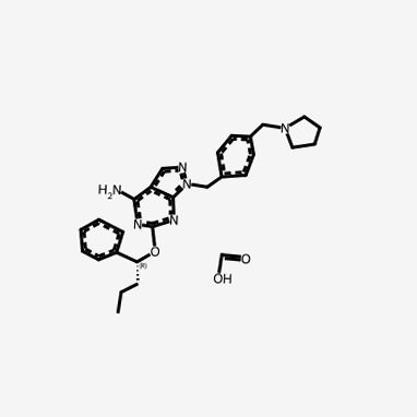 CCC[C@@H](Oc1nc(N)c2cnn(Cc3ccc(CN4CCCC4)cc3)c2n1)c1ccccc1.O=CO